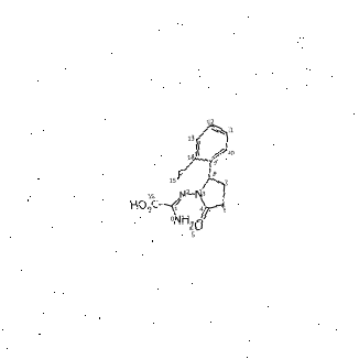 N/C(=N\N1C(=O)CCC1c1ccccc1F)C(=O)O